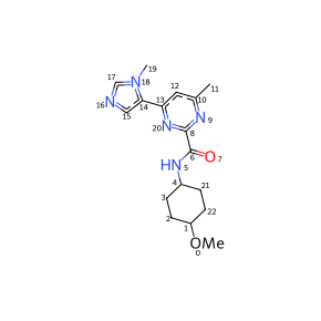 COC1CCC(NC(=O)c2nc(C)cc(-c3cncn3C)n2)CC1